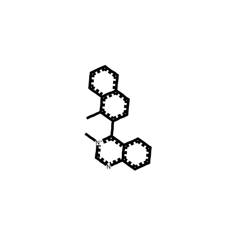 Cc1c(-c2c3ccccc3nc[n+]2C)ccc2ccccc12